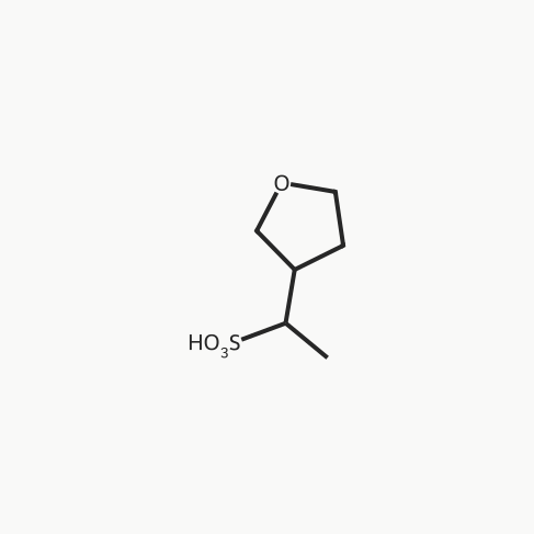 CC(C1CCOC1)S(=O)(=O)O